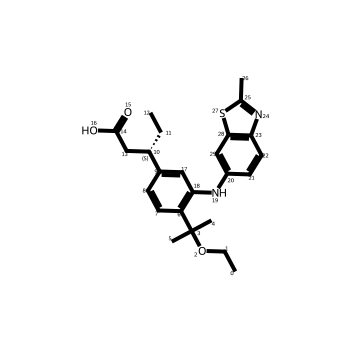 CCOC(C)(C)c1ccc([C@@H](CC)CC(=O)O)cc1Nc1ccc2nc(C)sc2c1